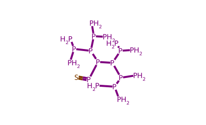 PP(P)P(P)P(P(P)P)P(P=S)P(P(P)P)P(P)P